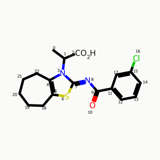 CC(C(=O)O)n1c2c(sc1=NC(=O)c1cccc(Cl)c1)CCCCC2